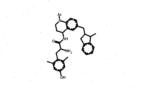 CC(=O)N1CCC(NC(=O)C(N)Cc2c(C)cc(O)cc2C)c2cc(CC3Cc4ccccc4C3C)ccc21